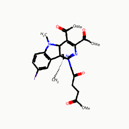 COC(=O)CCC(=O)N1C2=NC(C(=O)OC)=C(C(=O)OC)C3N(C)c4ccc(I)cc4[C@]23C[C@H]1C